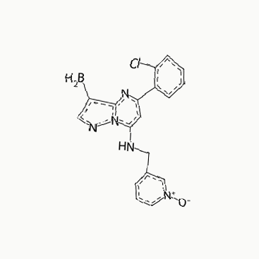 Bc1cnn2c(NCc3ccc[n+]([O-])c3)cc(-c3ccccc3Cl)nc12